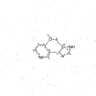 c1cc2c(cn1)-c1nc[nH]c1CO2